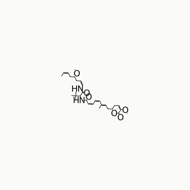 C/C=C\CC(C/C=C\NC(=O)C(NC(=O)\C=C/C=C\C(C)=C\CC1CC=C(OC)C(=O)O1)C(C)(C)C)OC